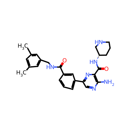 Cc1cc(C)cc(CNC(=O)c2cccc(-c3cnc(N)c(C(=O)N[C@H]4CCCNC4)n3)c2)c1